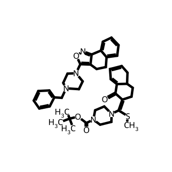 CSC(=C1CCC2CC=CC=C2C1=O)N1CCN(C(=O)OC(C)(C)C)CC1.c1ccc(CN2CCN(c3onc4c3CCc3ccccc3-4)CC2)cc1